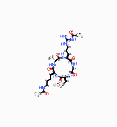 CC(C)[C@H]1NC(=O)/C(=C/CCCNC(=O)C(F)(F)F)NC(=O)/C(=C\C(=O)O)NC(=O)CNC(=O)/C(=C/CCNC(=N)NC(=O)C(F)(F)F)NC1=O